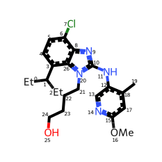 CCC(CC)c1ccc(Cl)c2nc(Nc3cnc(OC)cc3C)n(CCCCO)c12